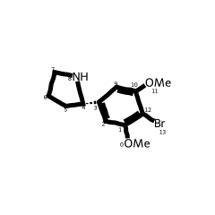 COc1cc([C@@H]2CCCN2)cc(OC)c1Br